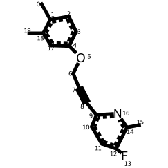 Cc1ccc(OCC#Cc2ccc(F)c(C)n2)cc1C